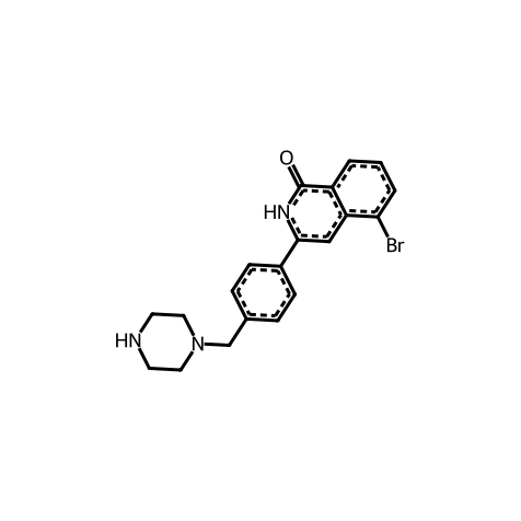 O=c1[nH]c(-c2ccc(CN3CCNCC3)cc2)cc2c(Br)cccc12